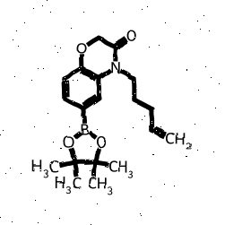 C=CCCCN1C(=O)COc2ccc(B3OC(C)(C)C(C)(C)O3)cc21